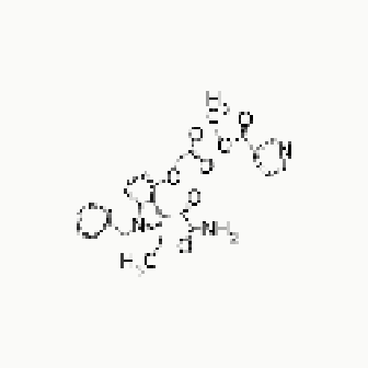 CCc1c(C(=O)C(N)=O)c2c(OCC(=O)OC(C)OC(=O)c3cccnc3)cccc2n1Cc1ccccc1